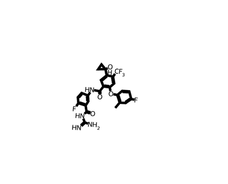 Cc1cc(F)ccc1Oc1cc(C(F)(F)F)c(C2(O)CC2)cc1C(=O)Nc1ccc(F)c(C(=O)NC(=N)N)c1